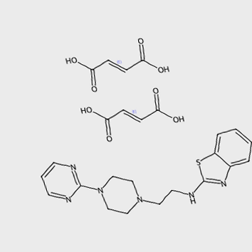 O=C(O)/C=C/C(=O)O.O=C(O)/C=C/C(=O)O.c1cnc(N2CCN(CCNc3nc4ccccc4s3)CC2)nc1